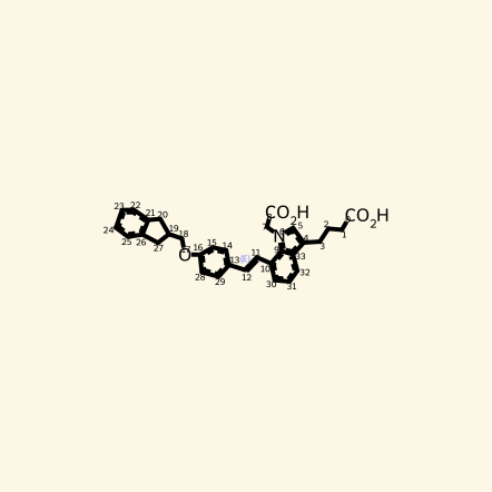 O=C(O)CCCc1cn(CC(=O)O)c2c(/C=C/c3ccc(OCC4Cc5ccccc5C4)cc3)cccc12